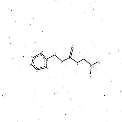 CN(C)CCC(=O)CCc1ccccc1